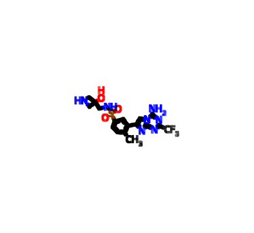 Cc1ccc(S(=O)(=O)NCC2(O)CNC2)cc1-c1cn2c(N)nc(C(F)(F)F)nc2n1